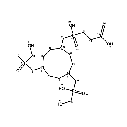 CP(=O)(CO)CN1CCN(CP(=O)(O)CO)CCN(CP(=O)(O)CCC(=O)O)CC1